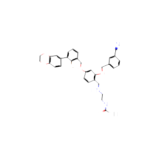 CC(=O)NCCNCc1ccc(OCc2cccc(-c3ccc4c(c3)OCCO4)c2Br)cc1OCc1cccc(C#N)c1